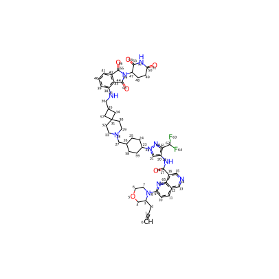 C#CCC1COCCN1c1ccc2cncc(C(=O)Nc3cn(C4CCC(CN5CCC6(CC5)CC(CNc5cccc7c5C(=O)N(C5CCC(=O)NC5=O)C7=O)C6)CC4)nc3C(F)F)c2n1